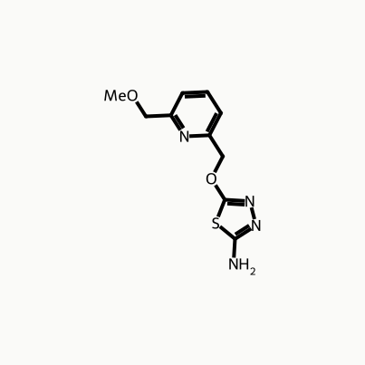 COCc1cccc(COc2nnc(N)s2)n1